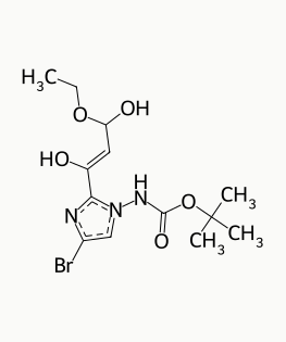 CCOC(O)/C=C(\O)c1nc(Br)cn1NC(=O)OC(C)(C)C